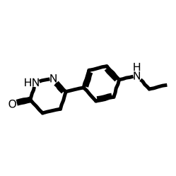 CCNc1ccc(C2=NNC(=O)CC2)cc1